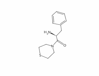 N[C@@H](Cc1ccccc1)C(=O)N1CCSCC1